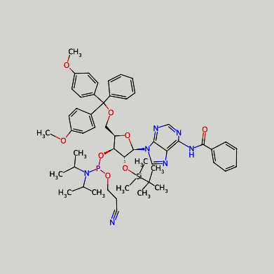 COc1ccc(C(OC[C@H]2O[C@@H](n3cnc4c(NC(=O)c5ccccc5)ncnc43)[C@H](O[Si](C)(C)C(C)(C)C)[C@H]2OP(OCCC#N)N(C(C)C)C(C)C)(c2ccccc2)c2ccc(OC)cc2)cc1